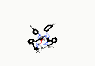 CC(=O)c1ccc(N=NC(C(=O)O)=C2NC(C)(C)Cc3ccccc32)cc1.CC(=O)c1ccc(N=NC(C(N)=O)=C2c3ccccc3CC(C)(C)N2C(C)=O)cc1